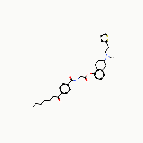 CCCCCCCCCCCCCCCC(=O)c1ccc(C(=O)NCC(=O)Oc2cccc3c2CCC(N(CCC)CCc2cccs2)C3)cc1